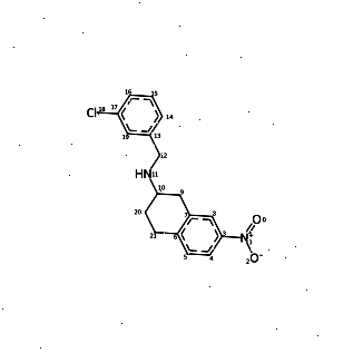 O=[N+]([O-])c1ccc2c(c1)CC(NCc1cccc(Cl)c1)CC2